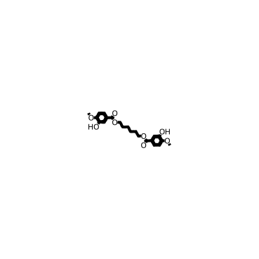 COc1ccc(C(=O)OCCCCCCOC(=O)c2ccc(OC)c(O)c2)cc1O